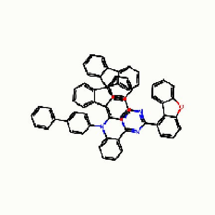 c1ccc(-c2ccc(N(c3ccccc3-c3nc(-c4ccccc4)nc(-c4cccc5oc6ccccc6c45)n3)c3cccc4c3-c3ccccc3C43c4ccccc4-c4ccccc43)cc2)cc1